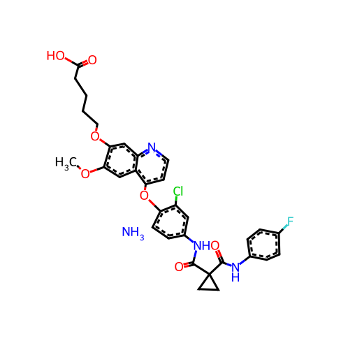 COc1cc2c(Oc3ccc(NC(=O)C4(C(=O)Nc5ccc(F)cc5)CC4)cc3Cl)ccnc2cc1OCCCCC(=O)O.N